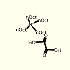 CCCCCCCC[N+](CCCCCCCC)(CCCCCCCC)CCCCCCCC.O=C(O)C(=O)O